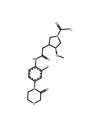 CO[C@@H]1CN(C(N)=O)C[C]1CC(=O)Nc1ccc(N2CCOCC2=O)cc1F